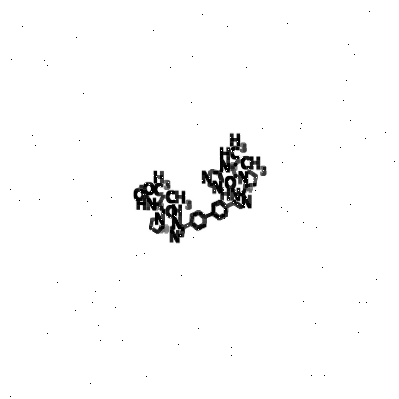 CC(C)[C@H](Nc1cncnc1)C(=O)N1CCC[C@H]1c1ncc(-c2ccc(-c3ccc(-c4cnc([C@@H]5CCCN5C(=O)[C@@H](NC5OCO5)C(C)C)[nH]4)cc3)cc2)[nH]1